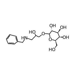 OC[C@H]1OC(OCC(O)CNCc2ccccc2)[C@H](O)[C@@H](O)[C@H]1O